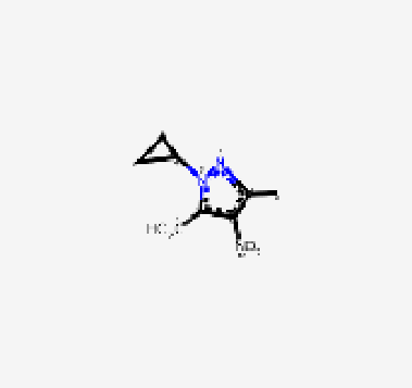 Cc1nn(C2CC2)c(C(=O)O)c1[N+](=O)[O-]